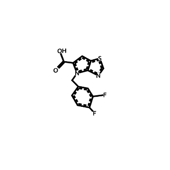 O=C(O)c1cc2scnc2n1Cc1ccc(F)c(F)c1